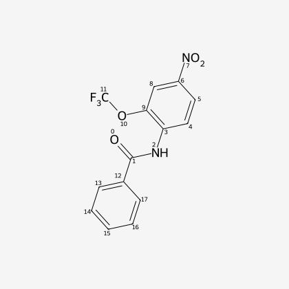 O=C(Nc1ccc([N+](=O)[O-])cc1OC(F)(F)F)c1ccccc1